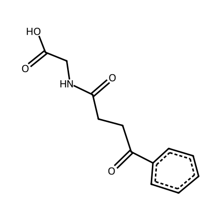 O=C(O)CNC(=O)CCC(=O)c1ccccc1